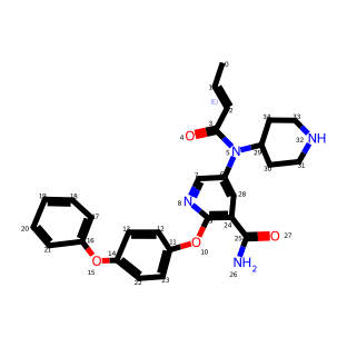 C/C=C/C(=O)N(c1cnc(Oc2ccc(Oc3ccccc3)cc2)c(C(N)=O)c1)C1CCNCC1